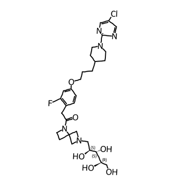 O=C(Cc1ccc(OCCCC2CCN(c3ncc(Cl)cn3)CC2)cc1F)N1CCC12CN(C[C@H](O)[C@H](O)[C@H](O)CO)C2